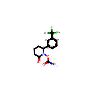 NC(=O)ON1C(=O)CCCC1c1cccc(C(F)(F)F)c1